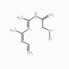 C=C/C=C(C)\N=C(/C)NC(=C)COCC